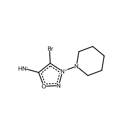 [NH-]c1on[n+](N2CCCCC2)c1Br